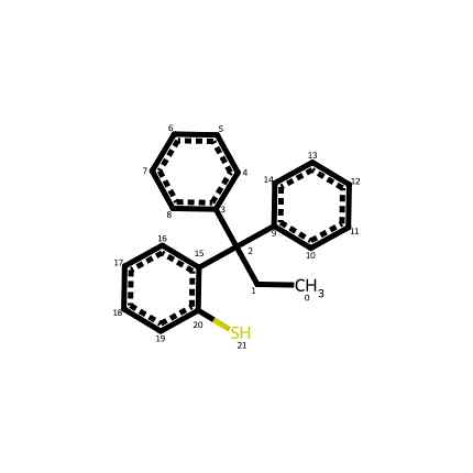 CCC(c1ccccc1)(c1ccccc1)c1ccccc1S